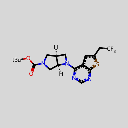 CC(C)(C)OC(=O)N1C[C@H]2CN(c3ncnc4sc(CC(F)(F)F)cc34)[C@H]2C1